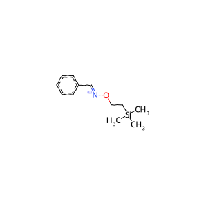 C[Si](C)(C)CCO/N=C/c1ccccc1